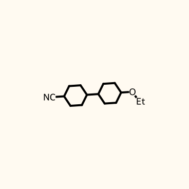 CCOC1CCC(C2CCC(C#N)CC2)CC1